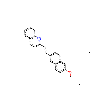 COc1ccc2cc(/C=C/c3ccc4ccccc4n3)ccc2c1